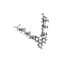 CC(C)CNCCCNCCCNCc1cccc(-c2ccccc2-c2cccc(CNCCCNCCCNCC(C)C)c2)c1